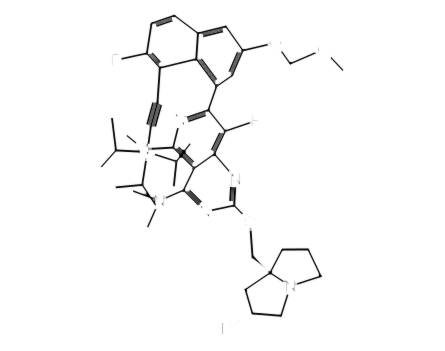 COCOc1cc(-c2nc(OC)c3c(N(C)C)nc(OC[C@@]45CCCN4C[C@H](F)C5)nc3c2F)c2c(C#C[Si](C(C)C)(C(C)C)C(C)C)c(F)ccc2c1